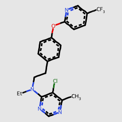 CCN(CCc1ccc(Oc2ccc(C(F)(F)F)cn2)cc1)c1ncnc(C)c1Cl